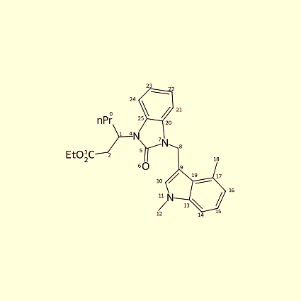 CCCC(CC(=O)OCC)n1c(=O)n(Cc2cn(C)c3cccc(C)c23)c2ccccc21